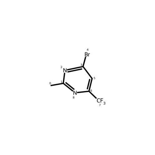 Cc1nc(Br)cc(C(F)(F)F)n1